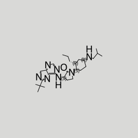 CCC[C@@H]1C[C@H](NCC(C)C)CC[C@@H]1N1CC[C@H](Nc2ncnc3cnc(C(C)(C)C)nc23)C1=O